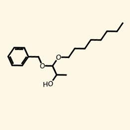 CCCCCCCCOC(OCc1ccccc1)C(C)O